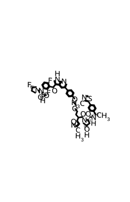 Cc1cc(C(CCOCCOc2ccc(-c3cnc4[nH]cc(C(=O)c5c(F)ccc(N(N6CC[C@@H](F)C6)[SH](=O)=O)c5F)c4c3)cc2)C(=O)N2C[C@H](O)C[C@H]2C(=O)N[C@@H](C)c2ccc(-c3scnc3C)cc2)on1